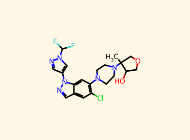 CC1(N2CCN(c3cc4c(cnn4-c4cnn(C(F)F)c4)cc3Cl)CC2)COCC1O